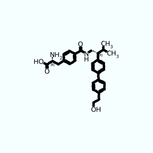 CC(C)[C@@H](CNC(=O)c1ccc(C[C@@H](N)C(=O)O)cc1)c1ccc(-c2ccc(CCO)cc2)cc1